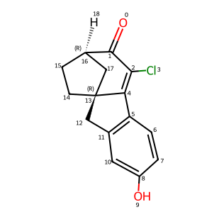 O=C1C(Cl)=C2c3ccc(O)cc3C[C@]23CC[C@@H]1C3